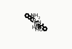 C=C(c1ccccc1O)c1n[nH]c2nc(N3CCC4(CC3)Cc3ccccc3[C@H]4N)cnc12